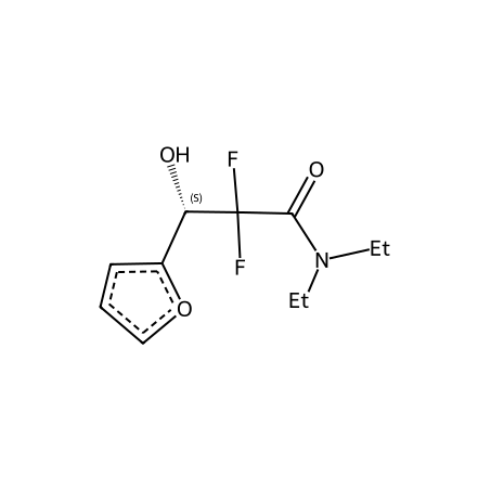 CCN(CC)C(=O)C(F)(F)[C@@H](O)c1ccco1